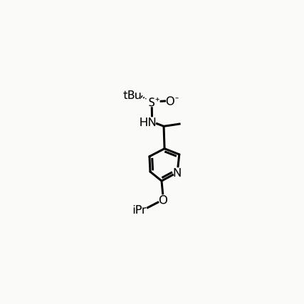 CC(C)Oc1ccc(C(C)N[S@@+]([O-])C(C)(C)C)cn1